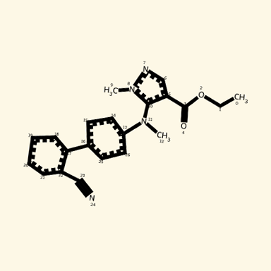 CCOC(=O)c1cnn(C)c1N(C)c1ccc(-c2ccccc2C#N)cc1